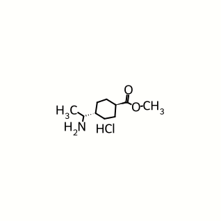 COC(=O)[C@H]1CC[C@H](C(C)N)CC1.Cl